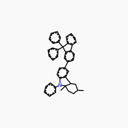 CC1CCC2(C)C(C1)c1cc(-c3ccc4c(c3)C(c3ccccc3)(c3ccccc3)c3ccccc3-4)ccc1N2c1ccccc1